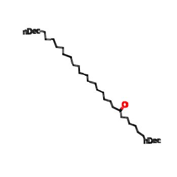 CCCCCCCCCCCCCCCCCCCCCCCCCCCCC(=O)CCCCCCCCCCCCCCCC